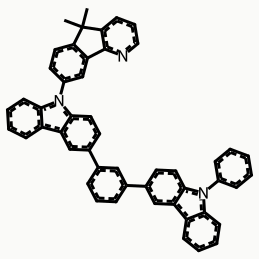 CC1(C)c2ccc(-n3c4ccccc4c4cc(-c5cccc(-c6ccc7c(c6)c6ccccc6n7-c6ccccc6)c5)ccc43)cc2-c2ncccc21